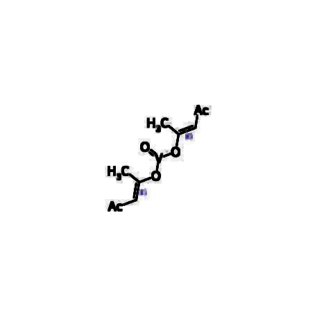 CC(=O)/C=C(\C)[O][V](=[O])[O]/C(C)=C/C(C)=O